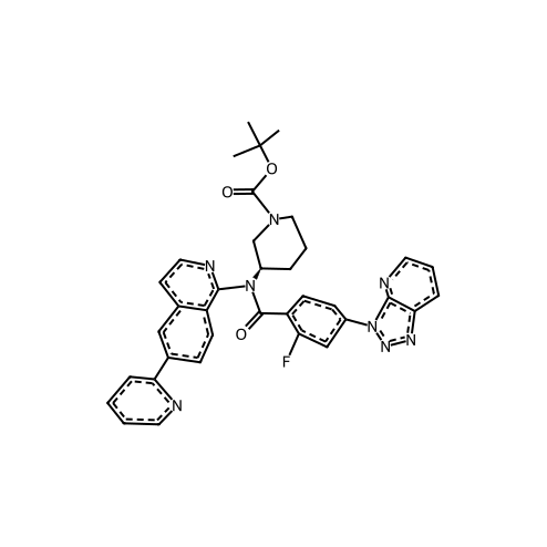 CC(C)(C)OC(=O)N1CCC[C@@H](N(C(=O)c2ccc(-n3nnc4cccnc43)cc2F)c2nccc3cc(-c4ccccn4)ccc23)C1